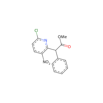 COC(=O)C(c1ccccc1)c1nc(Cl)ccc1[N+](=O)[O-]